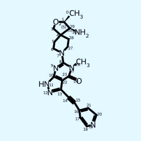 C[C@@H]1OCC2(CCN(c3nc4[nH]nc(C#Cc5ccncc5)c4c(=O)n3C)CC2)[C@@H]1N